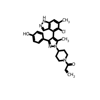 C=CC(=O)N1CCC(n2nc(-c3ccc(O)cc3)c(-c3c(Cl)c(C)cc4[nH]ncc34)c2C)CC1